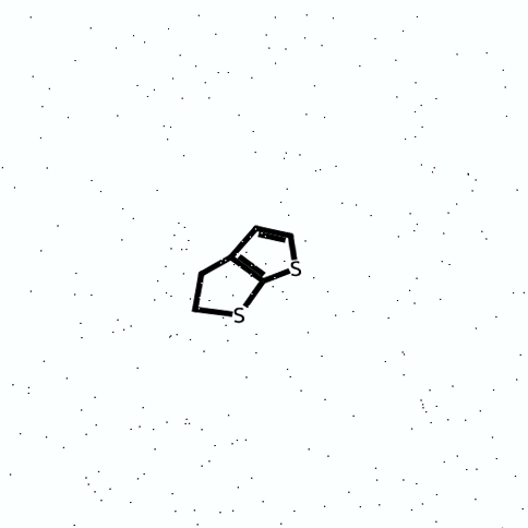 c1cc2c(s1)SCC2